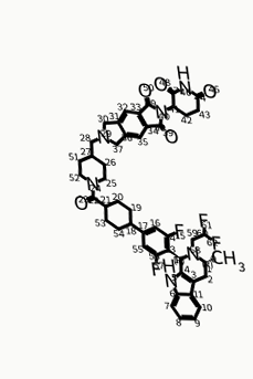 C[C@@H]1Cc2c([nH]c3ccccc23)[C@@H](c2c(F)cc(C3CCC(C(=O)N4CCC(CN5Cc6cc7c(cc6C5)C(=O)N(C5CCC(=O)NC5=O)C7=O)CC4)CC3)cc2F)N1CC(F)F